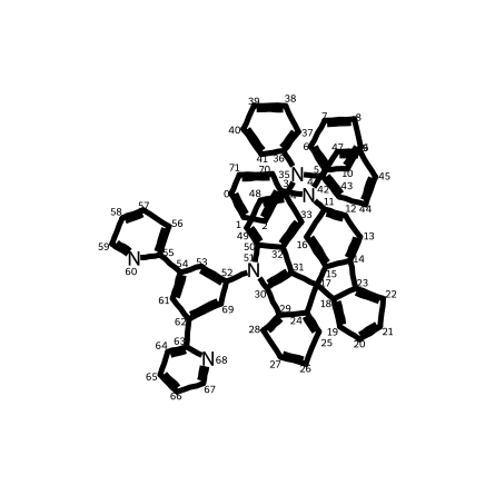 c1ccc(N(c2ccccc2)c2ccc3c(c2)C2(c4ccccc4-3)c3ccccc3-c3c2c2cc(N(c4ccccc4)c4ccccc4)ccc2n3-c2cc(-c3ccccn3)cc(-c3ccccn3)c2)cc1